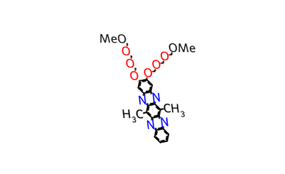 COCOCOCOc1cc2nc3c(C)c4nc5ccccc5nc4c(C)c3nc2cc1OCOCOCOC